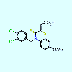 COc1ccc2c(c1)SC(=CC(=O)O)C(=S)N2Cc1ccc(Cl)c(Cl)c1